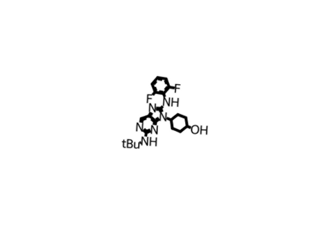 CC(C)(C)Nc1ncc2nc(Nc3c(F)cccc3F)n(C3CCC(O)CC3)c2n1